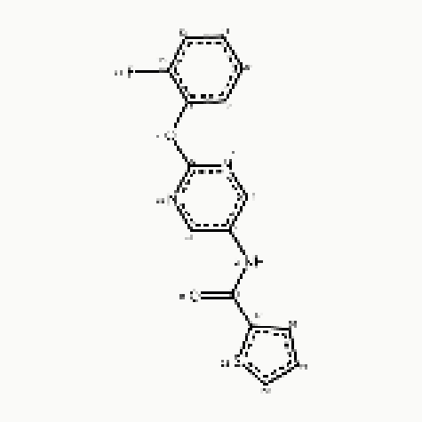 O=C(Nc1cnc(Oc2ccccc2F)nc1)c1cccs1